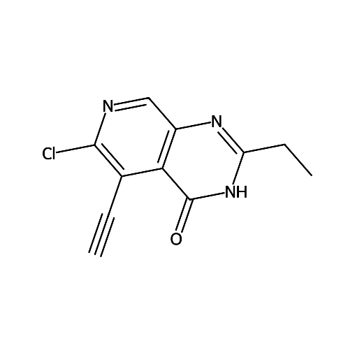 C#Cc1c(Cl)ncc2nc(CC)[nH]c(=O)c12